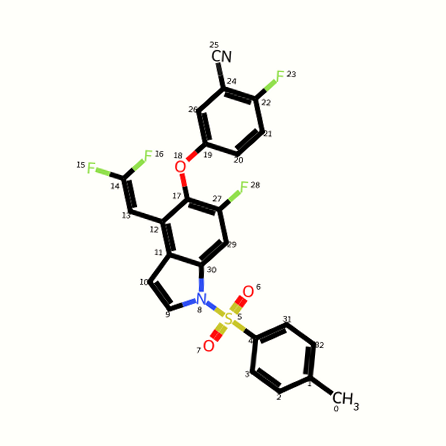 Cc1ccc(S(=O)(=O)n2ccc3c(C=C(F)F)c(Oc4ccc(F)c(C#N)c4)c(F)cc32)cc1